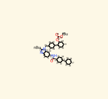 CCCCc1nc2ccc(NC(=O)c3ccc(-c4ccccc4)cc3)cc2n1Cc1ccc(-c2ccccc2OC(=O)OC(C)(C)C)cc1